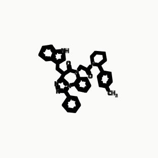 Cc1ccc(C2CCCCN2C(=O)CN2C(=O)C(Cc3c[nH]c4ccccc34)c3nnc(-c4ccccc4)n3-c3ccccc32)cc1